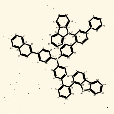 c1ccc(-c2ccc(-c3ccc(N(c4ccc(-c5ccc6ccccc6c5)cc4)c4ccc(-c5ccccc5-c5cccc6c5oc5ccccc56)cc4)cc3)c(-n3c4ccccc4c4ccccc43)c2)cc1